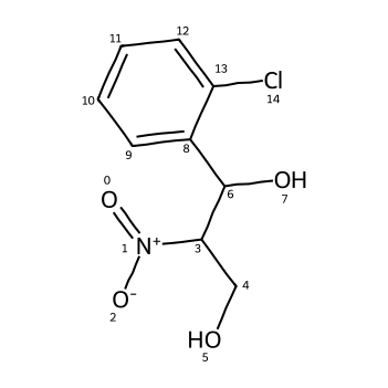 O=[N+]([O-])C(CO)C(O)c1ccccc1Cl